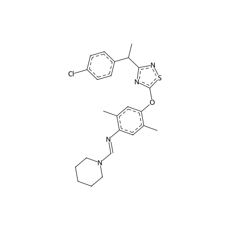 Cc1cc(Oc2nc(C(C)c3ccc(Cl)cc3)ns2)c(C)cc1N=CN1CCCCC1